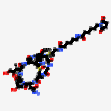 CC[C@H](C)[C@@H]1NC(=O)CNC(=O)[C@@H]2Cc3c([nH]c4c(CSCCNC(=O)CCCCCNC(=O)CCCCCN5C(=O)CCC5=O)c(OC)ccc34)[S+]([O-])C[C@H](NC(=O)CNC1=O)C(=O)N[C@@H](CC(N)=O)C(=O)N1C[C@H](O)C[C@H]1C(=O)N[C@@H]([C@@H](C)[C@@H](O)CO)C(=O)N2